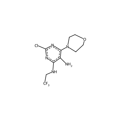 Nc1c(NCC(F)(F)F)nc(Cl)nc1N1CCOCC1